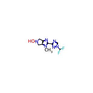 Cn1c(-c2ncn(C(F)F)n2)nc2c1CN(O)C2